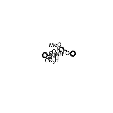 COc1cc(COc2ccccc2)nc(NC(=O)NS(=O)(=O)c2ccccc2C(=O)O)n1